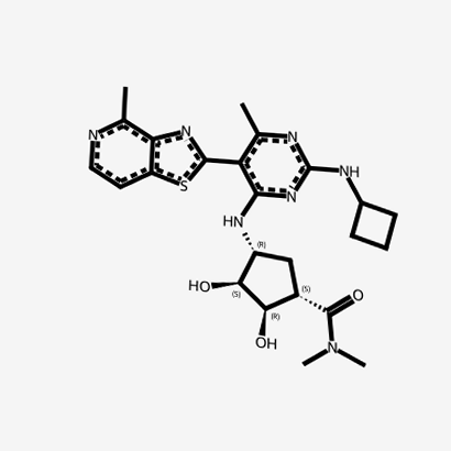 Cc1nc(NC2CCC2)nc(N[C@@H]2C[C@H](C(=O)N(C)C)[C@@H](O)[C@H]2O)c1-c1nc2c(C)nccc2s1